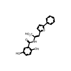 O=C(O)/C(=C\c1ccc(-c2ccccc2)o1)NC(=O)c1cc(O)ccc1O